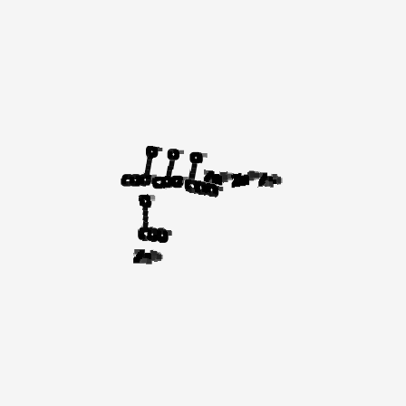 O=C([O-])[O-].O=C([O-])[O-].O=C([O-])[O-].O=C([O-])[O-].[Zn+2].[Zn+2].[Zn+2].[Zn+2]